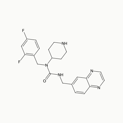 O=C(NCc1ccc2nccnc2c1)N(Cc1ccc(F)cc1F)C1CCNCC1